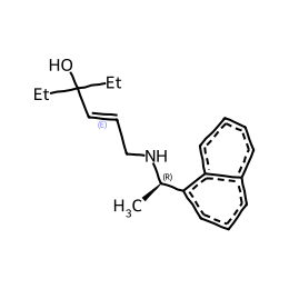 CCC(O)(/C=C/CN[C@H](C)c1cccc2ccccc12)CC